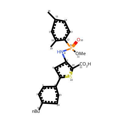 CCCCc1ccc(-c2cc(NP(=O)(OC)c3ccc(C)cc3C)c(C(=O)O)s2)cc1